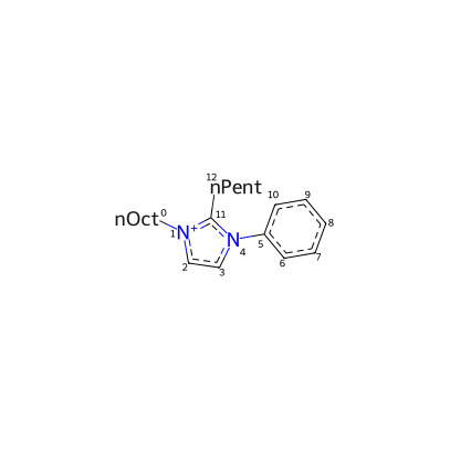 CCCCCCCC[n+]1ccn(-c2ccccc2)c1CCCCC